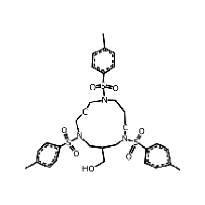 Cc1ccc(S(=O)(=O)N2CCCN(S(=O)(=O)c3ccc(C)cc3)CC(CO)CN(S(=O)(=O)c3ccc(C)cc3)CCC2)cc1